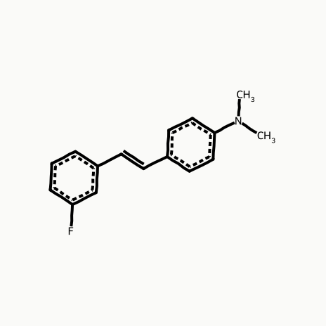 CN(C)c1ccc(C=Cc2cccc(F)c2)cc1